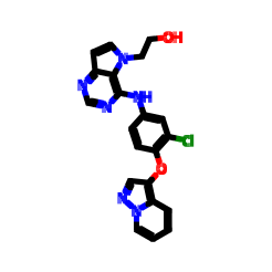 OCCn1ccc2ncnc(Nc3ccc(Oc4cnn5ccccc45)c(Cl)c3)c21